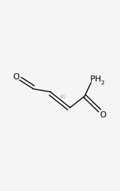 O=C/C=C/C(=O)P